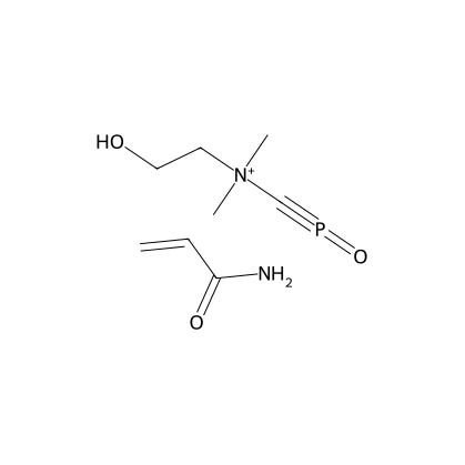 C=CC(N)=O.C[N+](C)(C#P=O)CCO